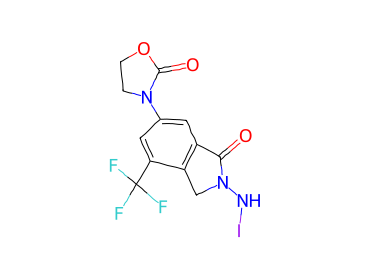 O=C1c2cc(N3CCOC3=O)cc(C(F)(F)F)c2CN1NI